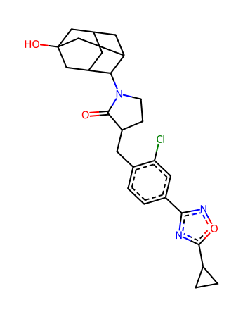 O=C1C(Cc2ccc(-c3noc(C4CC4)n3)cc2Cl)CCN1C1C2CC3CC1CC(O)(C3)C2